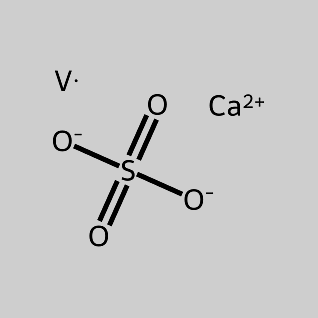 O=S(=O)([O-])[O-].[Ca+2].[V]